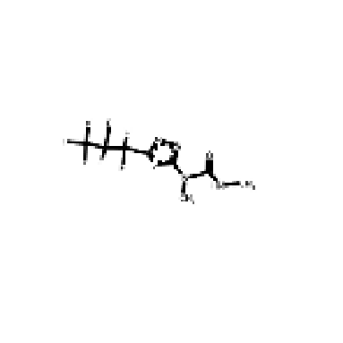 CNC(=O)N(C)c1nnc(C(F)(F)C(F)(F)C(F)(F)F)s1